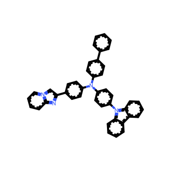 c1ccc(-c2ccc(N(c3ccc(-c4cn5ccccc5n4)cc3)c3ccc(-n4c5ccccc5c5ccccc54)cc3)cc2)cc1